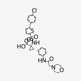 O=C(CN1CCOCC1)Nc1cccc([C@@H]2CC2(NS(=O)(=O)c2ccc(-c3ccc(Cl)cc3)s2)C(=O)O)c1